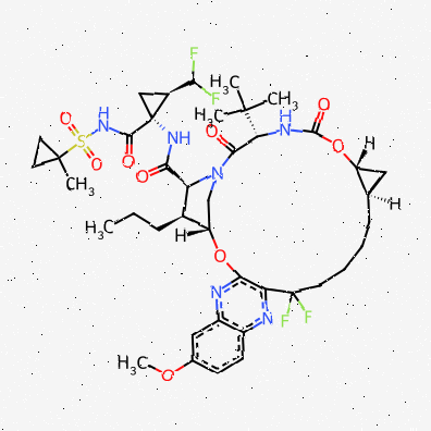 CCC[C@@H]1[C@@H]2CN(C(=O)[C@H](C(C)(C)C)NC(=O)O[C@@H]3C[C@H]3CCCCC(F)(F)c3nc4ccc(OC)cc4nc3O2)[C@@H]1C(=O)N[C@]1(C(=O)NS(=O)(=O)C2(C)CC2)C[C@H]1C(F)F